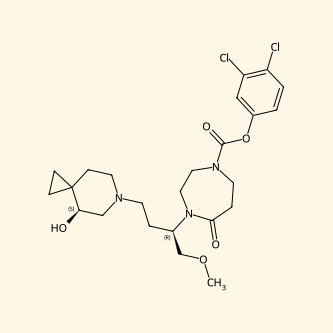 COC[C@@H](CCN1CCC2(CC2)[C@H](O)C1)N1CCN(C(=O)Oc2ccc(Cl)c(Cl)c2)CCC1=O